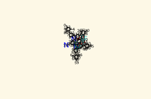 Cc1cc(C)c(-c2ccc3c(c2)c2cc(-c4c(C)cc(C)cc4C)ccc2n3-c2cc(C#N)cc(-n3c4ccc(-c5c(C)cc(C)cc5C)cc4c4cc(-c5c(C)cc(C)cc5C)ccc43)c2-c2ccc(C(F)(F)F)cc2C(F)(F)F)c(C)c1